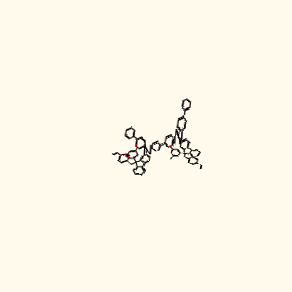 C=Cc1ccc(CC2(c3cc(C)cc(C)c3)c3ccccc3-c3ccc(N(c4ccc(-c5ccccc5)cc4)c4ccc(-c5ccc(N(c6ccc(-c7ccccc7)cc6)c6ccc7c(c6)C(Cc6ccc(C=C)cc6)(c6cc(C)cc(C)c6)c6ccccc6-7)cc5)cc4)cc32)cc1